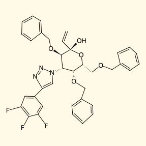 C=C[C@]1(O)O[C@H](COCc2ccccc2)[C@H](OCc2ccccc2)[C@H](n2cc(-c3cc(F)c(F)c(F)c3)nn2)[C@H]1OCc1ccccc1